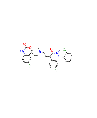 CN(Cc1ccccc1Cl)C(=O)C(CCN1CCC2(CC1)OC(=O)Nc1ccc(F)cc12)c1ccc(F)cc1